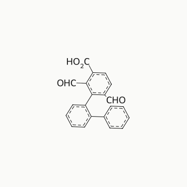 O=Cc1ccc(C(=O)O)c(C=O)c1-c1ccccc1-c1ccccc1